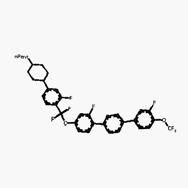 CCCCCC1CCC(c2ccc(C(F)(F)Oc3ccc(-c4ccc(-c5ccc(OC(F)(F)F)c(F)c5)cc4)c(F)c3)c(F)c2)CC1